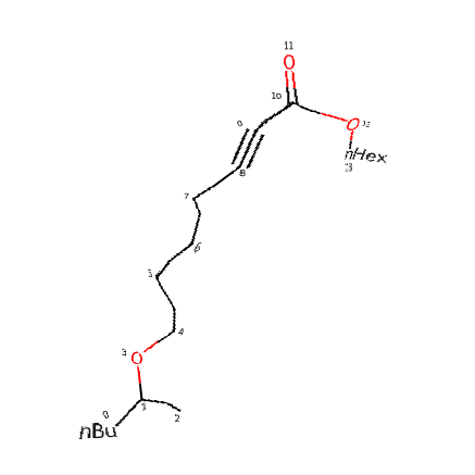 [CH2]CCCC(C)OCCCCC#CC(=O)OCCCCCC